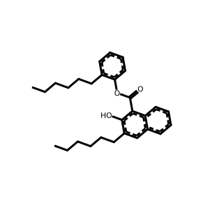 CCCCCCc1ccccc1OC(=O)c1c(O)c(CCCCCC)cc2ccccc12